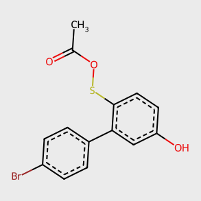 CC(=O)OSc1ccc(O)cc1-c1ccc(Br)cc1